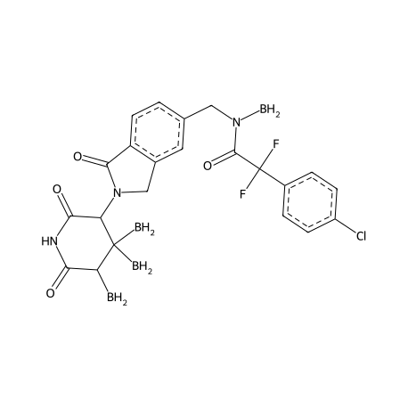 BC1C(=O)NC(=O)C(N2Cc3cc(CN(B)C(=O)C(F)(F)c4ccc(Cl)cc4)ccc3C2=O)C1(B)B